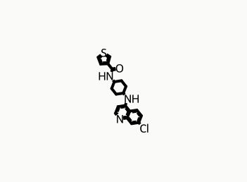 O=C(NC1CCC(Nc2ccnc3cc(Cl)ccc23)CC1)c1ccsc1